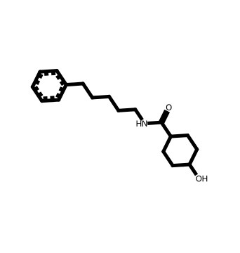 O=C(NCCCCCc1ccccc1)C1CCC(O)CC1